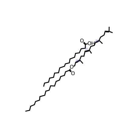 CCCCCCCCCCCCCCCCCC(=O)O.CCCCCCCCCCCCCCCCCC(=O)OC/C=C(\C)CC/C=C(\C)CC/C=C(\C)CCC=C(C)C